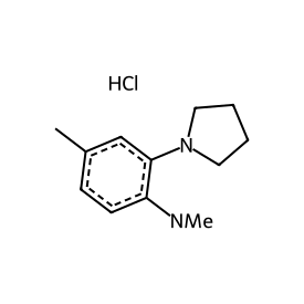 CNc1ccc(C)cc1N1CCCC1.Cl